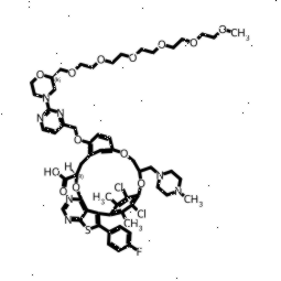 COCCOCCOCCOCCOCCOC[C@H]1CN(c2nccc(COc3ccc4cc3C[C@H](C(=O)O)Oc3ncnc5sc(-c6ccc(F)cc6)c(c35)-c3c(C)c(Cl)c(c(Cl)c3C)OC(CN3CCN(C)CC3)CO4)n2)CCO1